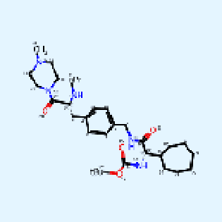 CCCN[C@H](Cc1ccc(CNC(=O)[C@@H](NC(=O)OC(C)(C)C)C2CCCCCC2)cc1)C(=O)N1CCN(C)CC1